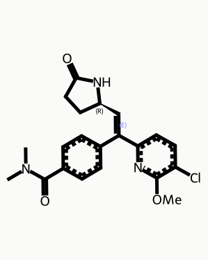 COc1nc(/C(=C/[C@H]2CCC(=O)N2)c2ccc(C(=O)N(C)C)cc2)ccc1Cl